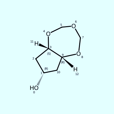 O[C@@H]1C[C@@H]2OCOCO[C@@H]2C1